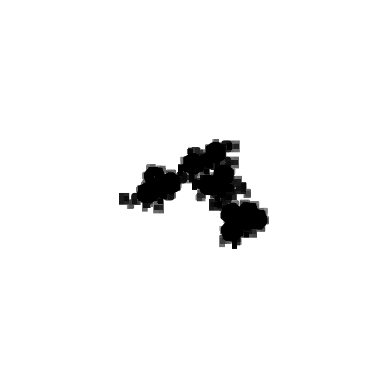 CC(C)(C)C1(c2ccc(O)cc2)C(=O)Nc2c1ccc(F)c2F.CCC(C)(C)C1(c2ccc(O)cc2)C(=O)Nc2c1ccc(F)c2F.Cc1ccc2c(c1F)NC(=O)C2(c1ccc(O)cc1)C1CCCCC1.O=C1Nc2c(ccc(F)c2F)C1(c1ccc(O)cc1)c1cccc2ccccc12